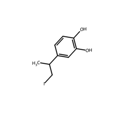 CC(CI)c1ccc(O)c(O)c1